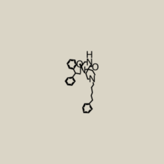 O=C1CNC(=O)C2(CCN(CCCCCc3ccccc3)CC2)N1CC(c1ccccc1)c1ccccc1